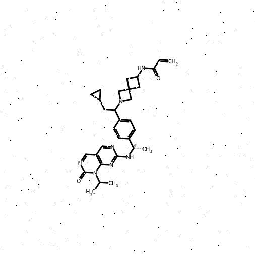 C=CC(=O)NC1CC2(C1)CN(C(CC1CC1)c1ccc([C@H](C)Nc3ncc4cnc(=O)n(C(C)C)c4n3)cc1)C2